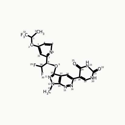 CC(Oc1ccnc([C@@H](Oc2nn(C)c3nnc(-c4c[nH]c(=O)[nH]c4=O)cc23)C(F)F)c1)C(F)(F)F